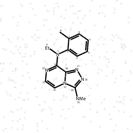 CCN(c1ccccc1C)c1nccn2c(NC)nnc12